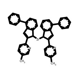 Cc1ccc(C2=Cc3c(-c4ccccc4)cccc3[CH]2[Zr][CH]2C(c3ccc(C)cn3)=Cc3c(-c4ccccc4)cccc32)nc1